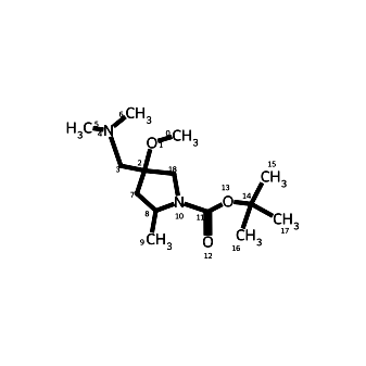 COC1(CN(C)C)CC(C)N(C(=O)OC(C)(C)C)C1